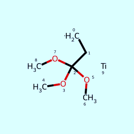 [CH2]CC(OC)(OC)OC.[Ti]